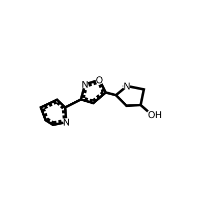 OC1C[N]C(c2cc(-c3ccccn3)no2)C1